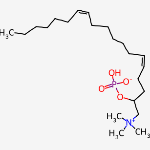 CCCCCC/C=C\CCCCC/C=C\CCC(C[N+](C)(C)C)OP(=O)([O-])O